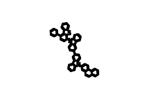 c1ccc(-c2ccc(-n3c4ccccc4c4cc(-c5ccc6c(c5)c5ccccc5n6-c5ccc6c(ccc7ccccc76)c5)ccc43)c3sc4ccccc4c23)cc1